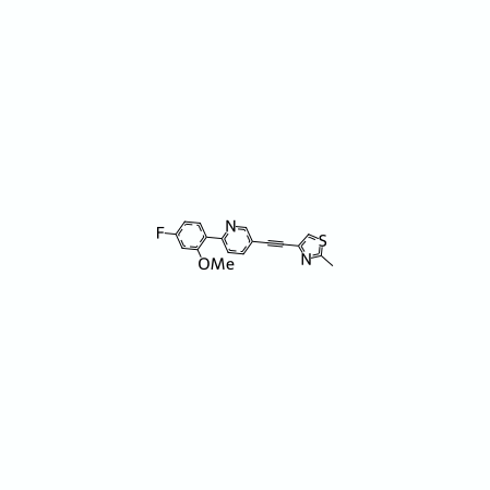 COc1cc(F)ccc1-c1ccc(C#Cc2csc(C)n2)cn1